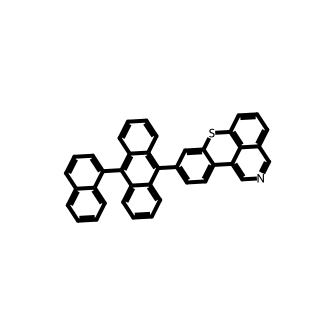 c1ccc2c(-c3c4ccccc4c(-c4ccc5c(c4)Sc4cccc6cncc-5c46)c4ccccc34)cccc2c1